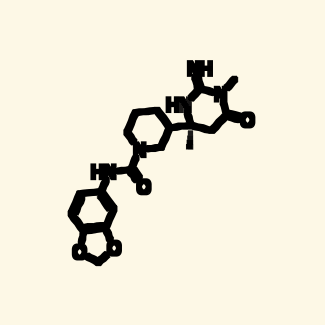 CN1C(=N)N[C@](C)(C2CCCN(C(=O)Nc3ccc4c(c3)OCO4)C2)CC1=O